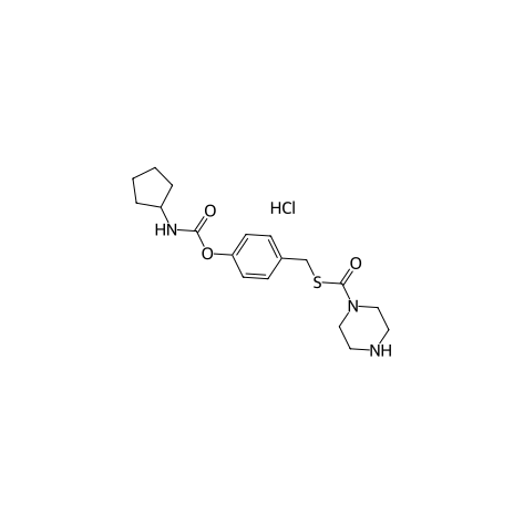 Cl.O=C(NC1CCCC1)Oc1ccc(CSC(=O)N2CCNCC2)cc1